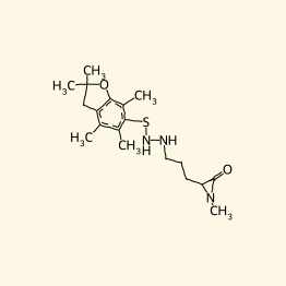 Cc1c(C)c(SNNCCCC2C(=O)N2C)c(C)c2c1CC(C)(C)O2